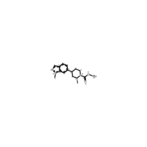 C[C@H]1CC(c2ccc3cnn(C)c3c2)CCN1C(=O)OC(C)(C)C